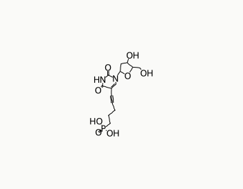 O=c1[nH]c(=O)n(C2CC(O)C(CO)O2)cc1C#CCCCP(=O)(O)O